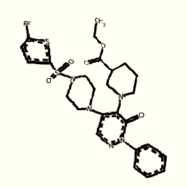 CCOC(=O)C1CCCN(c2c(N3CCN(S(=O)(=O)c4ccc(Br)s4)CC3)cnn(-c3ccccc3)c2=O)C1